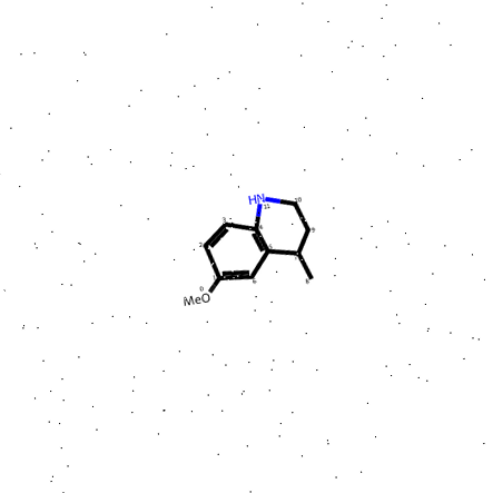 COc1ccc2c(c1)C(C)CCN2